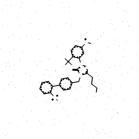 CCCCc1nn(-c2cc([N+](=O)[O-])ccc2C(F)(F)F)c(=O)n1Cc1ccc(-c2ccccc2S(N)(=O)=O)cc1